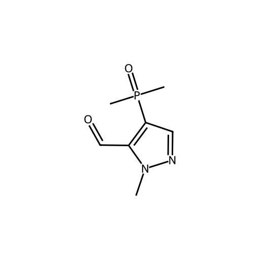 Cn1ncc(P(C)(C)=O)c1C=O